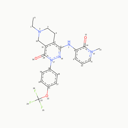 CCN1CCc2c(Nc3cccn(C)c3=O)nn(-c3ccc(OC(F)(F)F)cc3)c(=O)c2C1